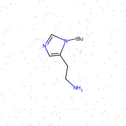 CC(C)(C)n1cncc1CCN